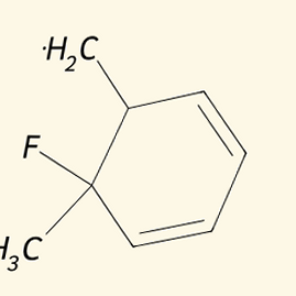 [CH2]C1C=CC=CC1(C)F